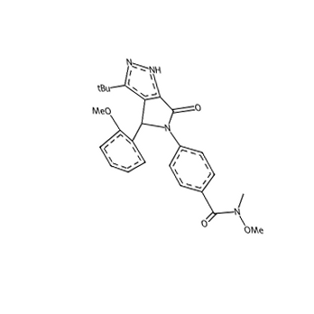 COc1ccccc1C1c2c(C(C)(C)C)n[nH]c2C(=O)N1c1ccc(C(=O)N(C)OC)cc1